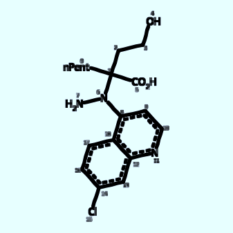 CCCCCC(CCO)(C(=O)O)N(N)c1ccnc2cc(Cl)ccc12